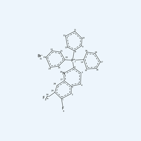 Fc1cc2ccc([P+](c3ccccc3)(c3ccccc3)c3ccccc3)nc2cc1C(F)(F)F.[Br-]